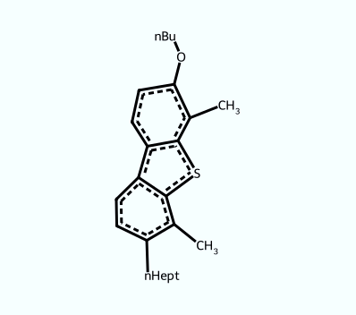 CCCCCCCc1ccc2c(sc3c(C)c(OCCCC)ccc32)c1C